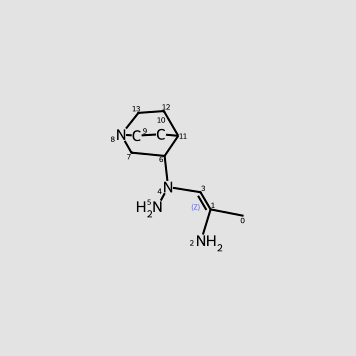 C/C(N)=C/N(N)C1CN2CCC1CC2